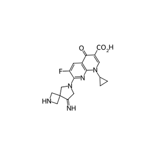 N=C1CN(c2nc3c(cc2F)c(=O)c(C(=O)O)cn3C2CC2)CC12CNC2